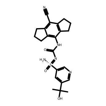 CC(C)(O)c1cncc([S@@](N)(=O)=NC(=O)Nc2c3c(c(C#N)c4c2CCC4)CCC3)c1